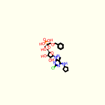 O=P(O)(O)[C@@](CO)(COCc1ccccc1)OC[C@H]1O[C@@H](n2ncc3c(NC4CCCC4)nc(Cl)nc32)[C@H](O)[C@@H]1O